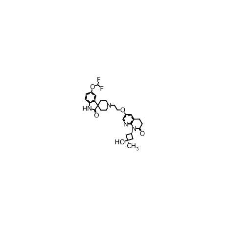 C[C@]1(O)C[C@@H](N2C(=O)CCc3cc(OCCN4CCC5(CC4)C(=O)Nc4ccc(OC(F)F)cc45)cnc32)C1